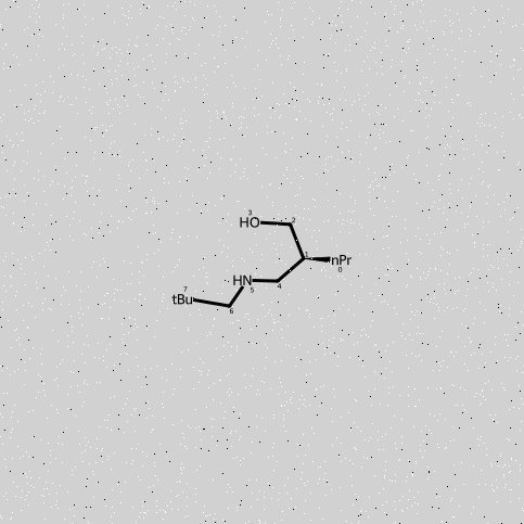 CCC[C@H](CO)CNCC(C)(C)C